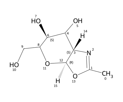 CC1=N[C@H]2C(O)[C@H](O)C(CO)O[C@@H]2O1